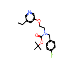 CCc1cncc(OCCN(Cc2ccc(F)cc2)C(=O)OC(C)(C)C)c1